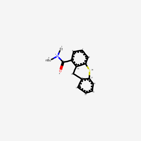 CCCCN(CC)C(=O)c1cccc2c1Cc1ccccc1S2